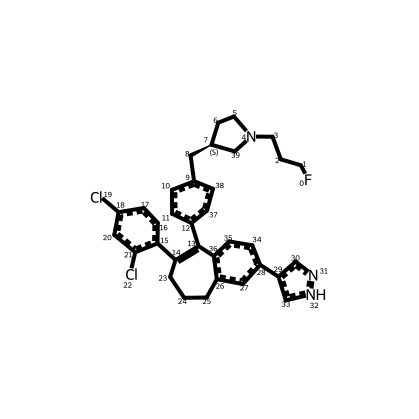 FCCCN1CC[C@H](Cc2ccc(C3=C(c4ccc(Cl)cc4Cl)CCCc4cc(-c5cn[nH]c5)ccc43)cc2)C1